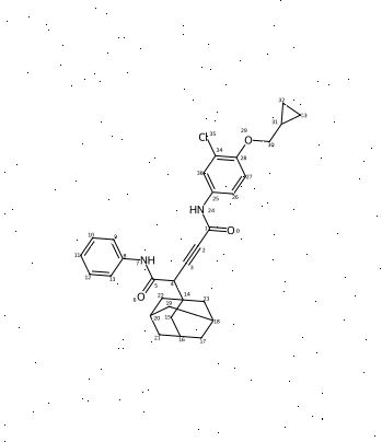 O=C(C#CC(C(=O)Nc1ccccc1)C12CC3CC(CC(C3)C1)C2)Nc1ccc(OCC2CC2)c(Cl)c1